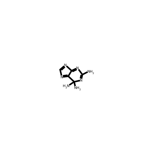 NC1=NC(N)(N)C2=NC=NC2=N1